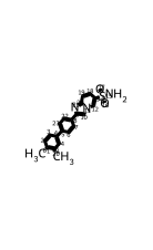 Cc1ccc(-c2ccc(-c3cn4cc(S(N)(=O)=O)ccc4n3)cc2)cc1C